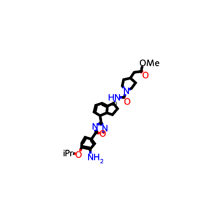 COC(=O)CC1CCN(C(=O)N[C@H]2CCC3C2=CC=CC3c2noc(-c3ccc(OC(C)C)c(N)c3)n2)CC1